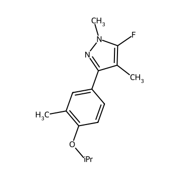 Cc1cc(-c2nn(C)c(F)c2C)ccc1OC(C)C